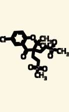 CC1(C)Oc2ccc(Cl)cc2C(=O)C1(CCS(C)(=O)=O)CCS(C)(=O)=O